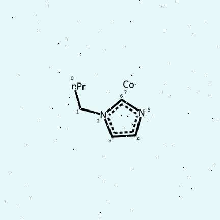 CCCCn1ccnc1.[Co]